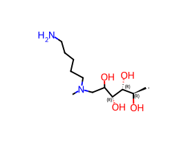 [CH2][C@@H](O)[C@@H](O)[C@H](O)C(O)CN(C)CCCCCN